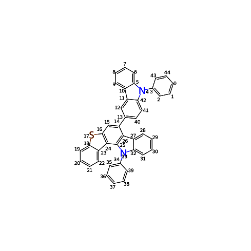 c1ccc(-n2c3ccccc3c3cc(-c4cc5sc6ccccc6c5c5c4c4ccccc4n5-c4ccccc4)ccc32)cc1